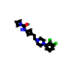 O=C(N[C@H]1C[C@H](CCN2CCN(c3cccc(Cl)c3Cl)CC2)C1)N1CCC1